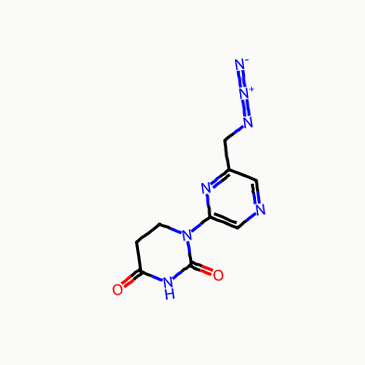 [N-]=[N+]=NCc1cncc(N2CCC(=O)NC2=O)n1